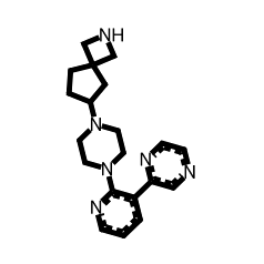 c1cnc(N2CCN(C3CCC4(CNC4)C3)CC2)c(-c2cnccn2)c1